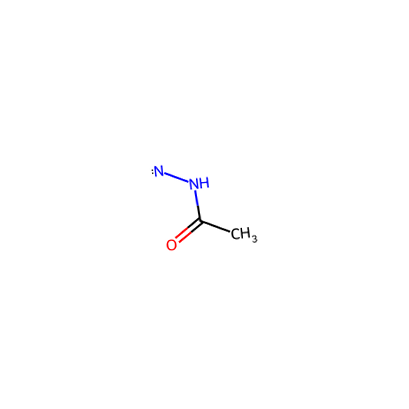 CC(=O)N[N]